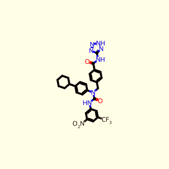 O=C(Nc1nn[nH]n1)c1ccc(CN(C(=O)Nc2cc([N+](=O)[O-])cc(C(F)(F)F)c2)c2ccc(C3CCCCC3)cc2)cc1